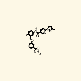 Cc1ccn(-c2ccc(C(=O)Nc3ccc(C)c(COc4cncc(C(N)=O)c4)c3)cn2)n1